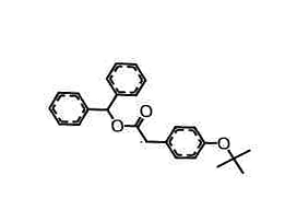 CC(C)(C)Oc1ccc([CH]C(=O)OC(c2ccccc2)c2ccccc2)cc1